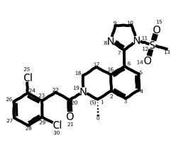 C[C@H]1c2cccc(C3=NCCN3S(C)(=O)=O)c2CCN1C(=O)Cc1c(Cl)cccc1Cl